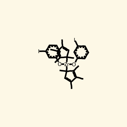 CC1=C[C](C)([Zr]([O]c2cccc(I)c2)([O]c2cccc(I)c2)[C]2(C)C=C(C)C(C)=C2C)C(C)=C1C